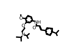 COc1ccc(NC(=O)/C=C/c2ccc(C(C)C)cc2)cc1OCCN(C(C)C)C(C)C